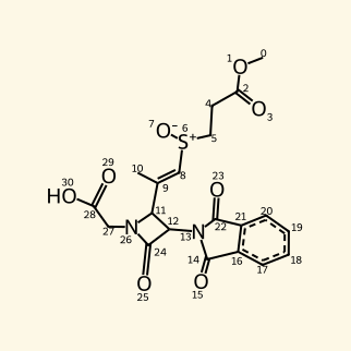 COC(=O)CC[S+]([O-])C=C(C)C1C(N2C(=O)c3ccccc3C2=O)C(=O)N1CC(=O)O